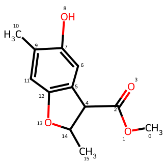 COC(=O)C1c2cc(O)c(C)cc2OC1C